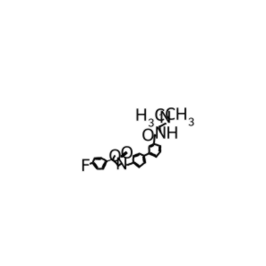 CN(C)CCNC(=O)c1cccc(-c2ccc(CN3C[C@@H](c4ccc(F)cc4)OC3=O)cc2)c1